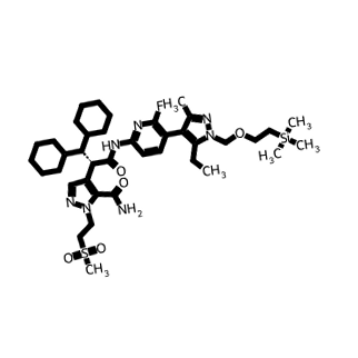 CCc1c(-c2ccc(NC(=O)[C@H](c3cnn(CCS(C)(=O)=O)c3C(N)=O)C(C3CCCCC3)C3CCCCC3)nc2F)c(C)nn1COCC[Si](C)(C)C